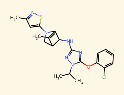 CC1=C2C(Nc3nc(Oc4ccccc4Cl)n(C(C)C)n3)C1CN2c1cc(C)ns1